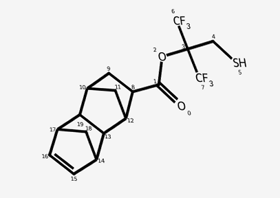 O=C(OC(CS)(C(F)(F)F)C(F)(F)F)C1CC2CC1C1C3C=CC(C3)C21